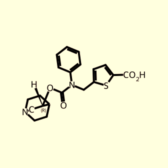 O=C(O)c1ccc(CN(C(=O)O[C@H]2CN3CCC2CC3)c2ccccc2)s1